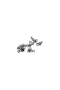 O=C(COCCOCC(=O)Nc1ccccc1C(Nc1ccccn1)C(c1ccccn1)C(O)c1ccccc1)NCc1ccc(C2C(CCC(O)c3ccc(F)cc3)C(=O)N2c2ccc(F)cc2)cc1.O=C(O)C(F)(F)F